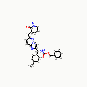 CC1CCC([C@H](NC(=O)OCc2ccccc2)c2cn3nc(C[C@@H]4CCCNC4=O)ccc3n2)CC1